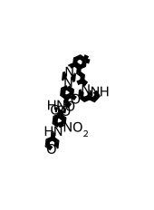 C=C(C)CCC1=C(CN2CCN(c3ccc(C(=O)NS(=O)(=O)c4ccc(NCC5CCOCC5)c([N+](=O)[O-])c4)c(Oc4cnc5[nH]ccc5c4)c3)CC2)CCC(C)(C)C1